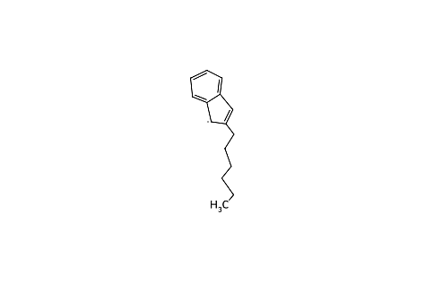 CCCCCCC1=Cc2ccccc2[CH]1